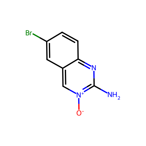 Nc1nc2ccc(Br)cc2c[n+]1[O-]